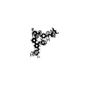 Cc1cc(C)n2ncc(C(=O)NC3CCC(NC(=O)c4cc(F)cnc4Oc4cccc(-c5ccc(CN6C[C@@H](C)N[C@@H](C)C6)cc5CN5CCOC[C@@H]5C)c4)CC3)c2n1